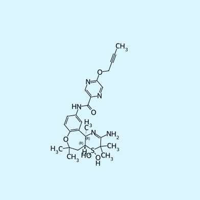 CC#CCOc1cnc(C(=O)Nc2ccc3c(c2)[C@@]2(C)N=C(N)C(C)(C)S(O)(O)[C@@H]2CC(C)(C)O3)cn1